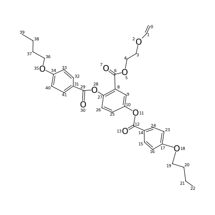 C=COCCOC(=O)c1cc(OC(=O)c2ccc(OCCCC)cc2)ccc1OC(=O)c1ccc(OCCCC)cc1